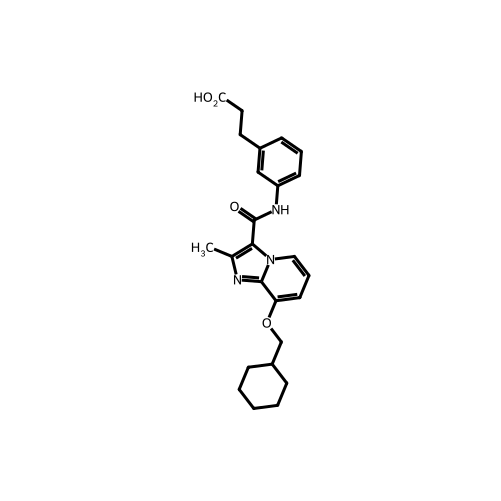 Cc1nc2c(OCC3CCCCC3)cccn2c1C(=O)Nc1cccc(CCC(=O)O)c1